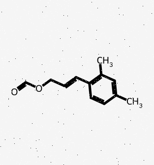 Cc1ccc(C=CCO[C]=O)c(C)c1